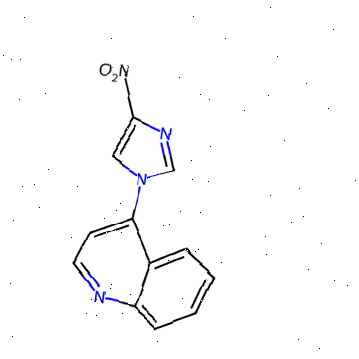 O=[N+]([O-])c1cn(-c2ccnc3ccccc23)cn1